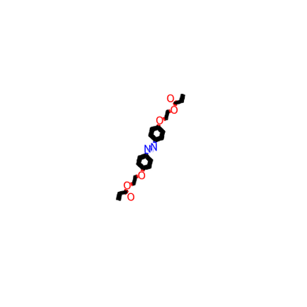 C=CC(=O)OCCOc1ccc(/N=N/c2ccc(OCCOC(=O)C=C)cc2)cc1